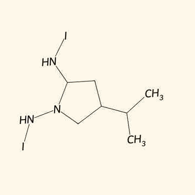 CC(C)C1CC(NI)N(NI)C1